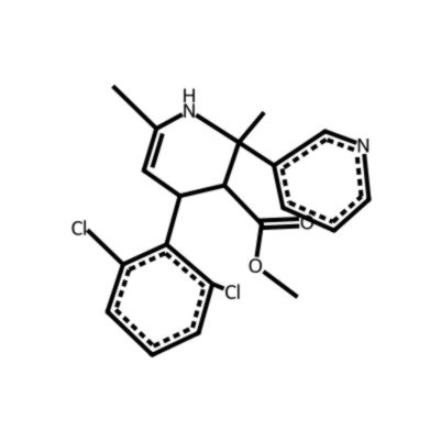 COC(=O)C1C(c2c(Cl)cccc2Cl)C=C(C)NC1(C)c1cccnc1